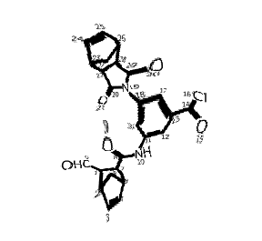 O=CC1C2C=CC(C2)C1C(=O)Nc1cc(C(=O)Cl)cc(N2C(=O)C3C4C=CC(C4)C3C2=O)c1